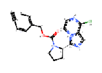 C#C/C=C\C(=C/C)COC(=O)N1CCC[C@H]1c1ncc2c(Cl)nccn12